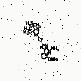 COc1cccc2c1nc(N)n1nc([C@H]3C[C@H](c4cnc(C(C)(C)N)c(C)n4)C3)nc21